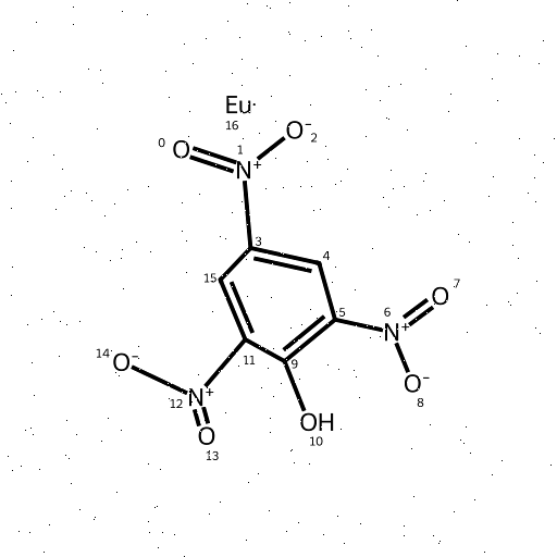 O=[N+]([O-])c1cc([N+](=O)[O-])c(O)c([N+](=O)[O-])c1.[Eu]